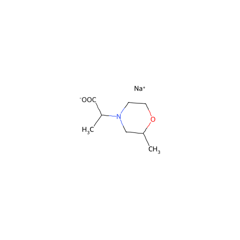 CC1CN(C(C)C(=O)[O-])CCO1.[Na+]